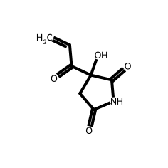 C=CC(=O)C1(O)CC(=O)NC1=O